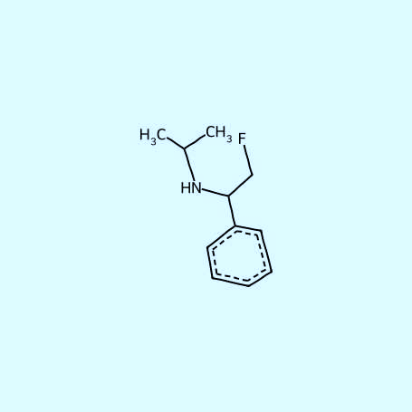 CC(C)NC(CF)c1ccccc1